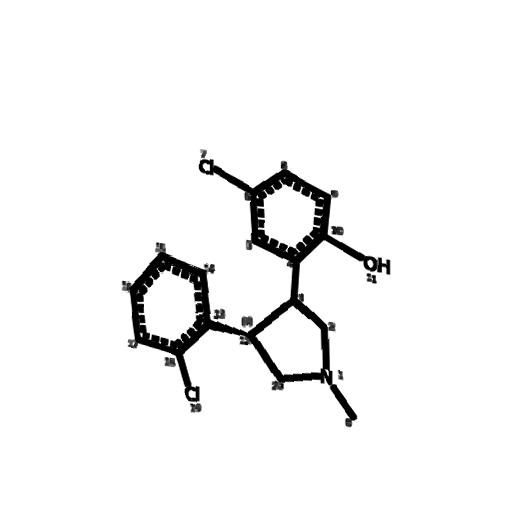 CN1CC(c2cc(Cl)ccc2O)[C@H](c2ccccc2Cl)C1